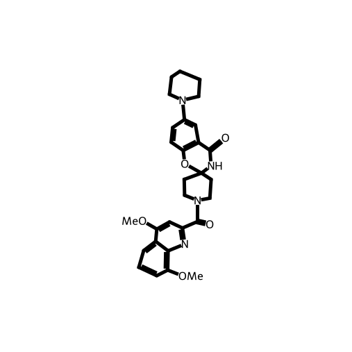 COc1cc(C(=O)N2CCC3(CC2)NC(=O)c2cc(N4CCCCC4)ccc2O3)nc2c(OC)cccc12